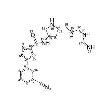 N#Cc1cccc(-c2cnc(C(=O)N[C@H]3CN[C@H](CN/C=N\C=N)C3)o2)c1